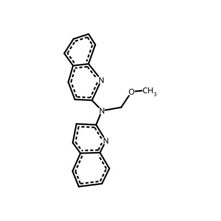 COCN(c1ccc2ccccc2n1)c1ccc2ccccc2n1